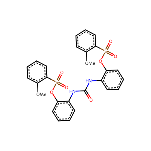 COc1ccccc1S(=O)(=O)Oc1ccccc1NC(=O)Nc1ccccc1OS(=O)(=O)c1ccccc1OC